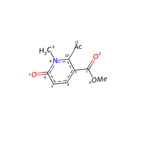 COC(=O)c1ccc(=O)n(C)c1C(C)=O